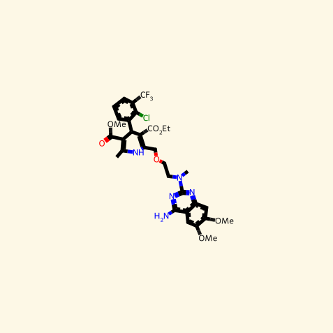 CCOC(=O)C1=C(COCCN(C)c2nc(N)c3cc(OC)c(OC)cc3n2)NC(C)=C(C(=O)OC)C1c1cccc(C(F)(F)F)c1Cl